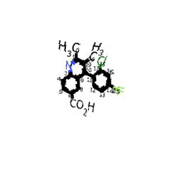 Cc1nc2ccc(C(=O)O)cc2c(-c2ccc(F)cc2Cl)c1C